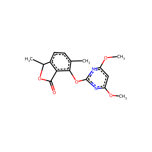 COc1cc(OC)nc(Oc2c(C)ccc3c2C(=O)OC3C)n1